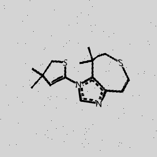 CC1(C)C=C(n2cnc3c2C(C)(C)CSCC3)SC1